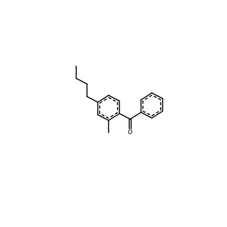 CCCCc1ccc(C(=O)c2ccccc2)c(C)c1